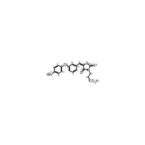 CC(C)(C)c1ccc(Oc2cccc(C=C3SC(=S)N(CCC(=O)O)C3=O)c2)cc1